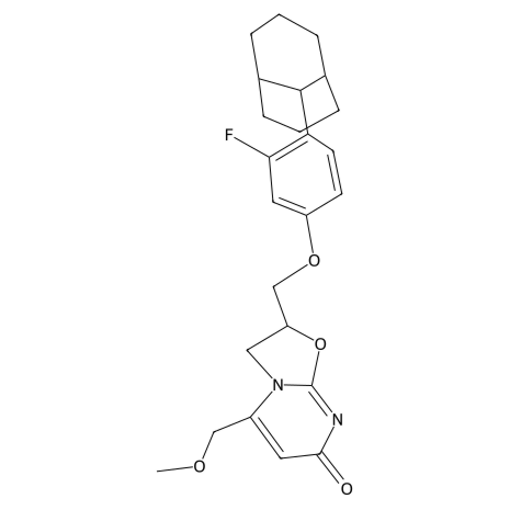 COCc1cc(=O)nc2n1CC(COc1ccc(C3C4CCCC3CCC4)c(F)c1)O2